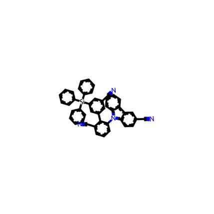 N#Cc1cc(-c2c(C#N)cccc2-n2c3ccccc3c3cc(C#N)ccc32)cc([Si](c2ccccc2)(c2ccccc2)c2ccccc2)c1